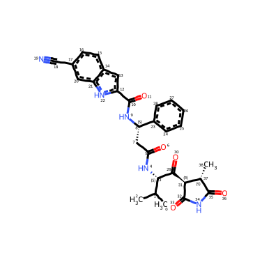 CC(C)[C@H](NC(=O)C[C@H](NC(=O)c1cc2ccc(C#N)cc2[nH]1)c1ccccc1)C(=O)[C@@H]1C(=O)NC(=O)[C@H]1C